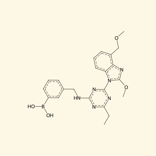 CCc1nc(NCc2cccc(B(O)O)c2)nc(-n2c(OC)nc3c(COC)cccc32)n1